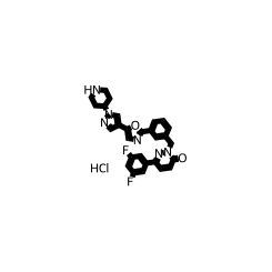 Cl.O=c1ccc(-c2cc(F)cc(F)c2)nn1Cc1cccc(-c2ncc(-c3cnn(C4CCNCC4)c3)o2)c1